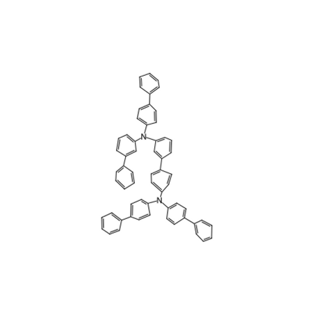 c1ccc(-c2ccc(N(c3ccc(-c4ccccc4)cc3)c3ccc(-c4cccc(N(c5ccc(-c6ccccc6)cc5)c5cccc(-c6ccccc6)c5)c4)cc3)cc2)cc1